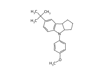 COc1ccc(N2c3ccc(C(C)(C)C)cc3C3CCCC32)cc1